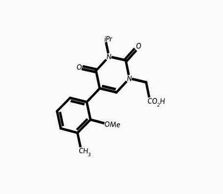 COc1c(C)cccc1-c1cn(CC(=O)O)c(=O)n(C(C)C)c1=O